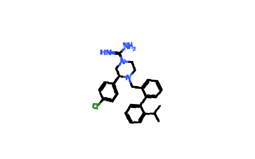 CC(C)c1ccccc1-c1ccccc1CN1CCN(C(=N)N)CC1c1ccc(Cl)cc1